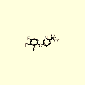 O=[N+]([O-])c1ccc(Oc2ccc(F)c(F)c2F)cn1